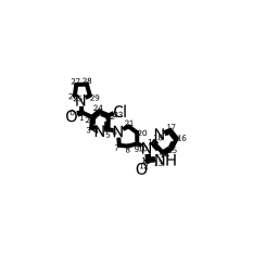 O=C(c1cnc(N2CCC(n3c(=O)[nH]c4cccnc43)CC2)c(Cl)c1)N1CCCC1